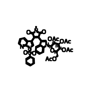 CC(=O)OC[C@H]1O[C@@H](n2cc(C3=C(c4cn(S(=O)(=O)c5ccccc5)c5ncccc45)C(=O)N(C)C3=O)c3ccccc32)[C@H](OC(C)=O)[C@@H](OC(C)=O)[C@@H]1OC(C)=O